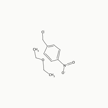 CCOCC.O=[N+]([O-])c1ccc(CCl)cc1